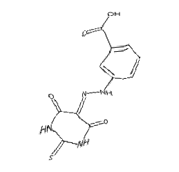 O=C1NC(=S)NC(=O)C1=NNc1cccc(C(=O)O)c1